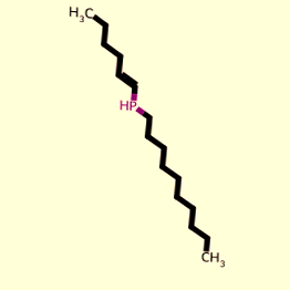 CCCCC=CPCCCCCCCCCC